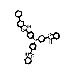 C1=CC2NC(c3ccc(N(C4=CC=C(C5NC6CC(C7=CCCCC7)CCC6O5)CC4)C4CC=C(C5Nc6ccccc6O5)CC4)cc3)OC2C=C1